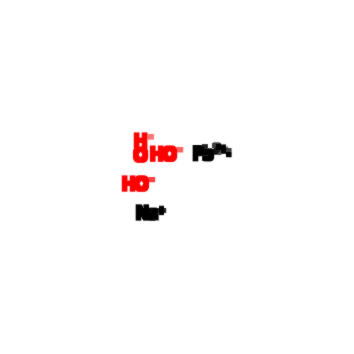 [Na+].[OH-].[OH-].[OH-].[Pb+2]